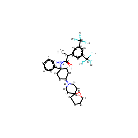 C[C@H](C(=O)NC1(c2ccccc2)CCC(N2CCC3(CCCCO3)CC2)CC1)c1cc(C(F)(F)F)cc(C(F)(F)F)c1